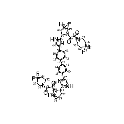 O=C(C(=O)N1C(c2nc(-c3ccc(-c4ccc(-c5c[nH]c(C6CC7C[C@@H]7N6C(=O)C(=O)N6CCC(F)(F)CC6)n5)cc4)cc3)c[nH]2)C[C@@H]2CC21)N1CCC(F)(F)CC1